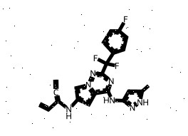 C=C=C(C=C)Nc1cc2c(Nc3cc(C)[nH]n3)nc(C(F)(F)c3ccc(F)cc3)nn2c1